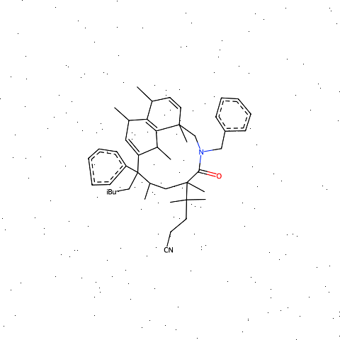 CCC(C)CC1(c2ccccc2)C2=CC(C)C3=C(C2C)C(C)(C=CC3C)CN(Cc2ccccc2)C(=O)C(C)(C(C)(C)CCC#N)CC1C